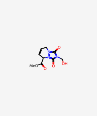 COC(=O)C1C=CCn2c(=O)n(CO)c(=O)n21